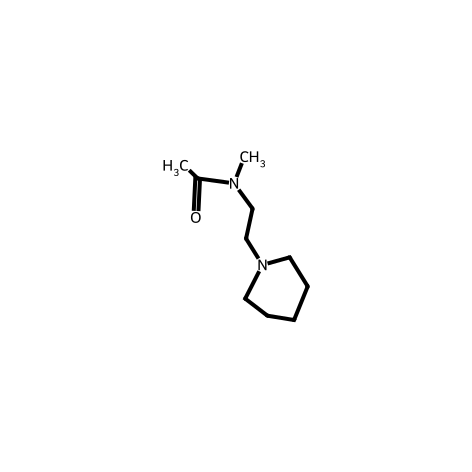 CC(=O)N(C)CCN1CCCCC1